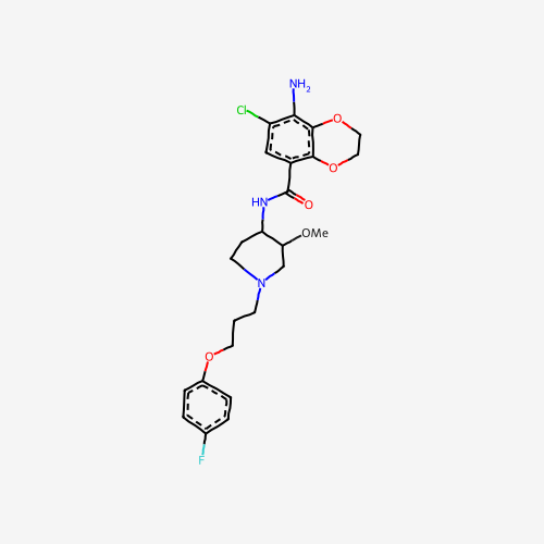 COC1CN(CCCOc2ccc(F)cc2)CCC1NC(=O)c1cc(Cl)c(N)c2c1OCCO2